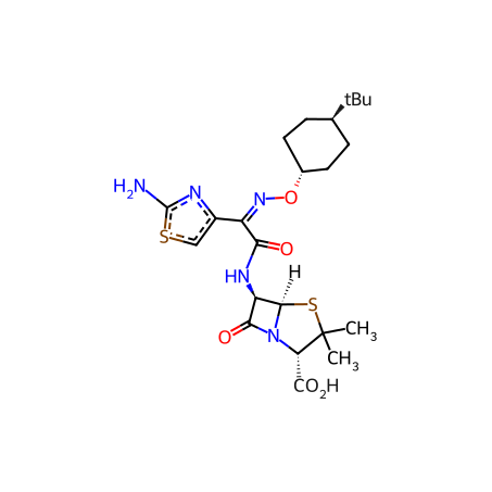 CC1(C)S[C@@H]2[C@H](NC(=O)/C(=N\O[C@H]3CC[C@H](C(C)(C)C)CC3)c3csc(N)n3)C(=O)N2[C@H]1C(=O)O